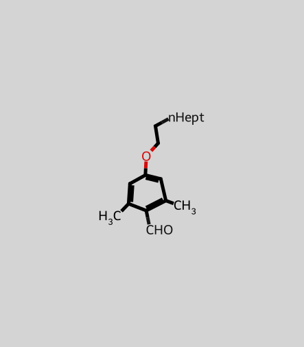 CCCCCCCCCOc1cc(C)c(C=O)c(C)c1